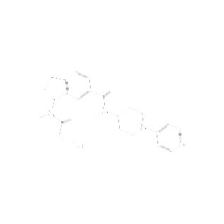 CN(C(=O)c1ccc2c(c1)C(N(C)C(=O)CC(C)(C)C)CC2)C1CCN(c2ccncc2)CC1